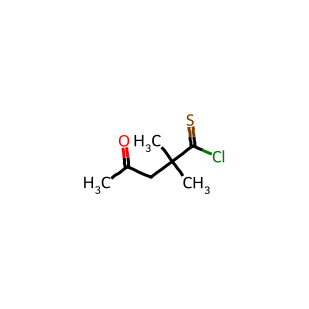 CC(=O)CC(C)(C)C(=S)Cl